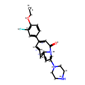 O=C1\C=C(c2ccc(OCC(F)(F)F)c(F)c2)/C=C/C=C2\C=CC(N3CCNCC3)=CN12